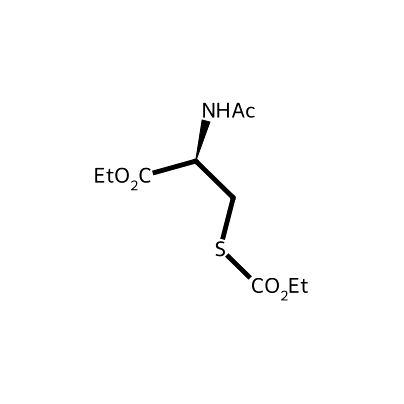 CCOC(=O)SC[C@H](NC(C)=O)C(=O)OCC